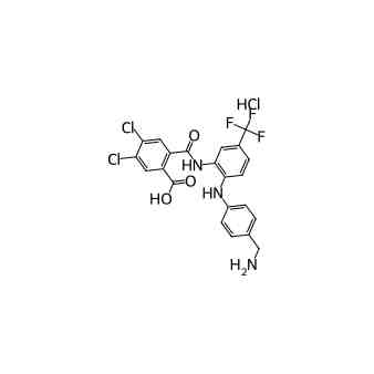 Cl.NCc1ccc(Nc2ccc(C(F)(F)F)cc2NC(=O)c2cc(Cl)c(Cl)cc2C(=O)O)cc1